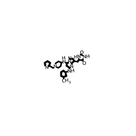 Cc1cccc(Nc2cc(NC3CCN(Cc4ccccn4)CC3)n3ncc(/C=C4\NC(=O)NC4=O)c3n2)c1